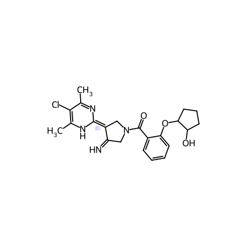 CC1=N/C(=C2\CN(C(=O)c3ccccc3OC3CCCC3O)CC2=N)NC(C)=C1Cl